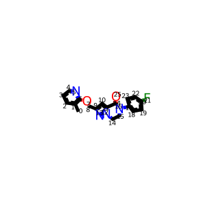 Cc1cccnc1OCc1cc2n(n1)CCN(c1ccc(F)cc1)C2=O